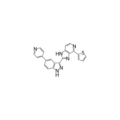 c1csc(-c2nccc3[nH]c(-c4n[nH]c5ccc(-c6ccncc6)cc45)nc23)c1